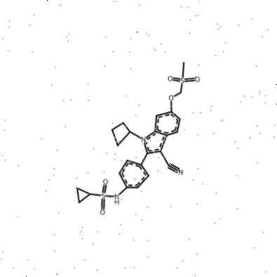 CS(=O)(=O)COc1ccc2c(C#N)c(-c3ccc(NS(=O)(=O)C4CC4)cc3)n(C3CCC3)c2c1